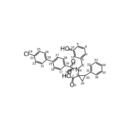 O=C(O)C1(N(Cc2cccc(O)c2)S(=O)(=O)c2ccc(-c3ccc(Cl)cc3)cc2)CC1c1ccccc1